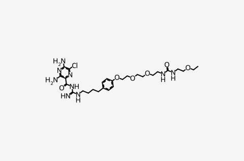 CCOCCNC(=O)NCCOCCOCCOc1ccc(CCCCNC(=N)NC(=O)c2nc(Cl)c(N)nc2N)cc1